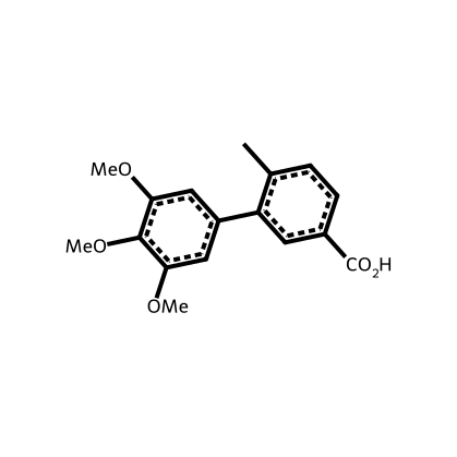 COc1cc(-c2cc(C(=O)O)ccc2C)cc(OC)c1OC